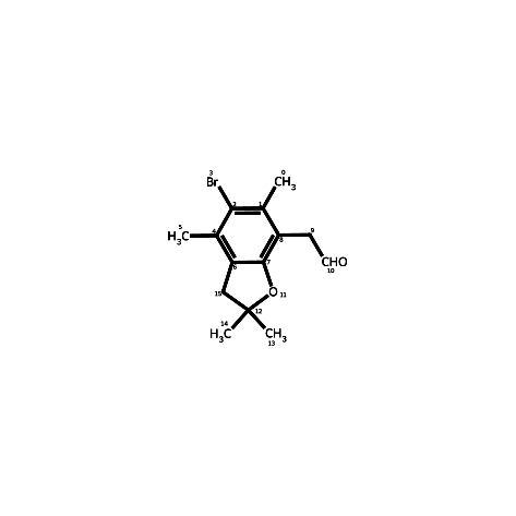 Cc1c(Br)c(C)c2c(c1CC=O)OC(C)(C)C2